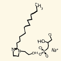 CCCCCCCCCCCC1=NCCN1CCO.O=S(=O)([O-])CC(O)CCl.[Na+]